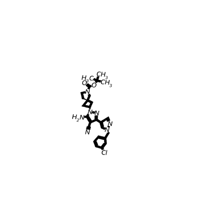 CC(C)(C)OC(=O)N1CC[C@]2(C1)C[C@H](n1nc(-c3cnn(Cc4cccc(Cl)c4)c3)c(C#N)c1N)C2